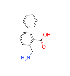 NCc1ccccc1C(=O)O.c1ccccc1